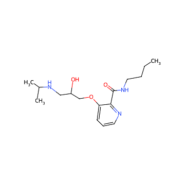 CCCCNC(=O)c1ncccc1OCC(O)CNC(C)C